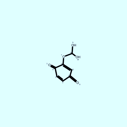 O=C1C=CC(=O)C(OC(O)O)=C1